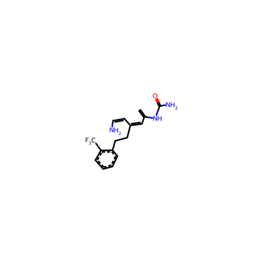 C=C(/C=C(\C=C/N)CCc1ccccc1C(F)(F)F)NC(N)=O